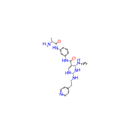 CCCNC1NC(NCCc2ccncc2)NC=C1C(=O)Nc1cccc(NC(=O)C(C)N)c1